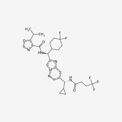 CC(C)c1ocnc1C(=O)N[C@H](c1cn2ncc([C@H](NC(=O)CCC(F)(F)F)C3CC3)cc2n1)C1CCC(F)(F)CC1